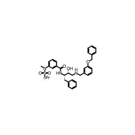 CCCS(=O)(=O)N(C)c1cccc(C(=O)N[C@@H](Cc2ccccc2)[C@H](O)CNCc2cccc(OCc3ccccc3)c2)c1